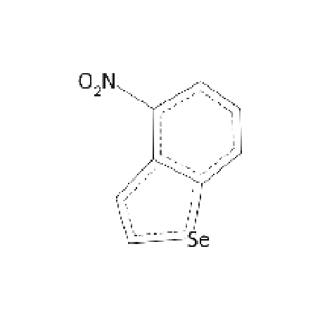 O=[N+]([O-])c1cccc2[se]ccc12